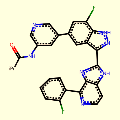 CC(C)C(=O)Nc1cncc(-c2cc(F)c3[nH]nc(-c4nc5c(-c6ccccc6F)nccc5[nH]4)c3c2)c1